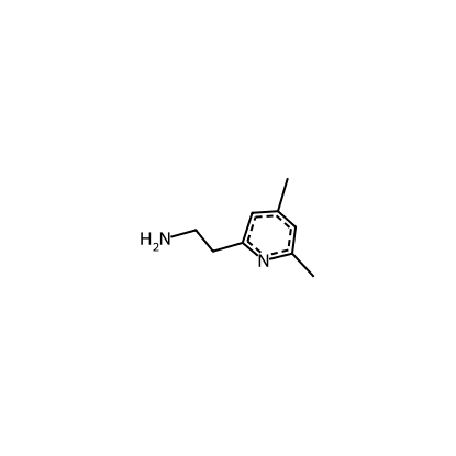 Cc1cc(C)nc(CCN)c1